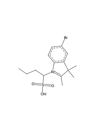 CCCC([N+]1=C(C)C(C)(C)c2cc(Br)ccc21)S(=O)(=O)O